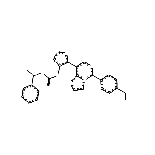 CC(OC(=O)Nc1cnoc1-c1cnc(-c2ccc(CC(=O)O)cc2)n2ccnc12)c1ccccc1